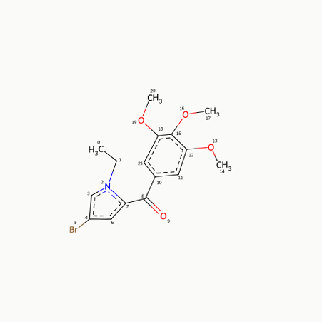 CCn1cc(Br)cc1C(=O)c1cc(OC)c(OC)c(OC)c1